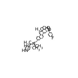 C1=CC=CNC=C1.CC(C)N(CCc1ccc2c(c1)CC=c1c-2ccc2c1=CC(C(=O)c1ccc(F)cc1)C(C=O)C2(C)C)C(C)C